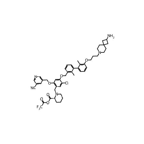 Cc1c(COc2cc(OCc3cncc(C#N)c3)c(CN3CCCC[C@H]3C(=O)OC(=O)C(F)(F)F)cc2Cl)cccc1-c1cccc(OCCCN2CCC3(CC2)CC(N)C3)c1C